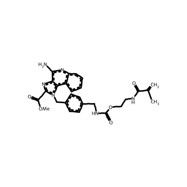 C=C(C)C(=O)NCCOC(=O)NCc1ccc(Cn2c(C(=O)OC)nc3c(N)nc4ccccc4c32)cc1